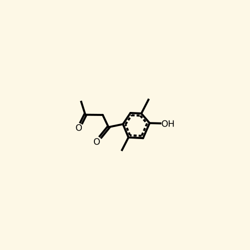 CC(=O)CC(=O)c1cc(C)c(O)cc1C